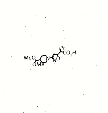 COC(OC)C1CCN(c2cc(C(C(=O)O)C(C)C)on2)CC1